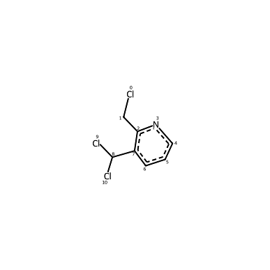 ClCc1ncccc1C(Cl)Cl